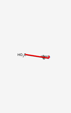 CCCCC/C=C\C/C=C\CCCCCCCC(=O)OCCCCCCCCCCCCCCCCCCCCCCCCCCCCCCCCCCCCC(=O)O